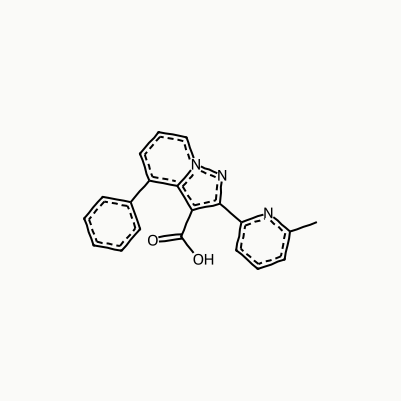 Cc1cccc(-c2nn3cccc(-c4ccccc4)c3c2C(=O)O)n1